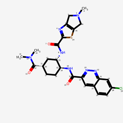 CN1Cc2nc(C(=O)N[C@H]3C[C@@H](C(=O)N(C)C)CC[C@@H]3NC(=O)c3cc4ccc(Cl)cc4nn3)sc2C1